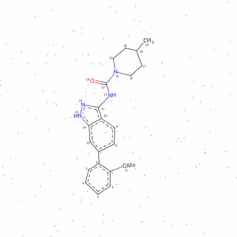 COc1ccccc1-c1ccc2c(NC(=O)N3CCC(C)CC3)n[nH]c2c1